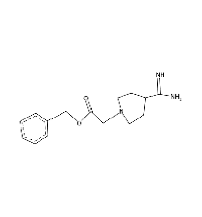 N=C(N)C1CCN(CC(=O)OCc2ccccc2)CC1